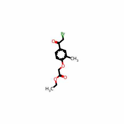 CCOC(=O)COc1ccc(C(=O)CBr)cc1C